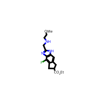 CCOC(=O)C1Cc2cc3[nH]c(CNCCOC)nc3c(F)c2C1